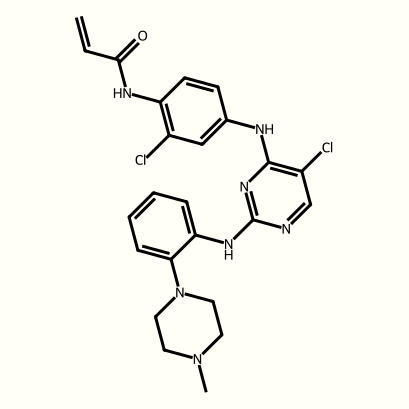 C=CC(=O)Nc1ccc(Nc2nc(Nc3ccccc3N3CCN(C)CC3)ncc2Cl)cc1Cl